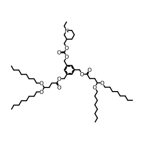 CCCCCCCCOC(CCC(=O)OCc1cc(COC(=O)CCC(OCCCCCCCC)OCCCCCCCC)cc(COC(=O)OCC2CCCN(CC)C2)c1)OCCCCCCCC